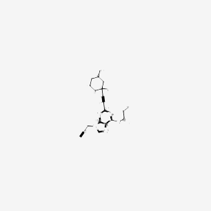 C#CCn1cnc2c(N[C@@H](C)CC)nc(C#CC3(O)CCCC(C)C3)nc21